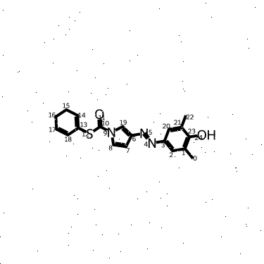 Cc1cc(/N=N/c2ccn(C(=O)SC3=CCCC=C3)c2)cc(C)c1O